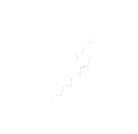 COCCCCC(=O)c1ccc(OC(F)F)cc1